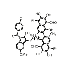 COc1ccc2c(c1)c(CC(=O)O)c(C)n2C(=O)c1ccc(Cl)cc1.Cc1cc2c(C(C)C)c(O)c(O)c(C=O)c2c(O)c1-c1c(C)cc2c(C(C)C)c(O)c(O)c(C=O)c2c1O